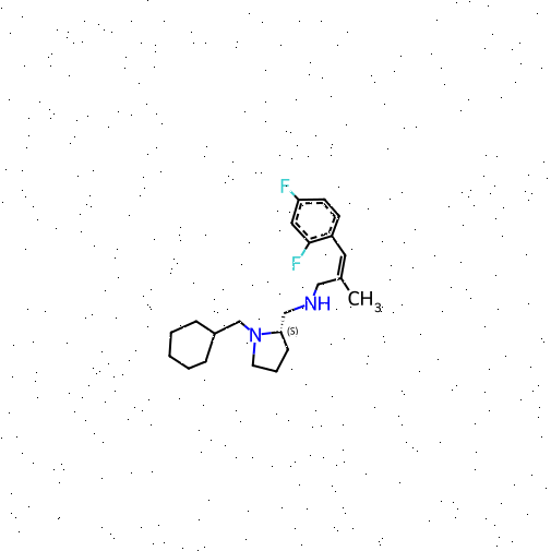 CC(=Cc1ccc(F)cc1F)CNC[C@@H]1CCCN1CC1CCCCC1